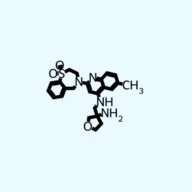 Cc1ccc2nc(N3CCS(=O)(=O)c4ccccc4C3)cc(NCC3(N)CCOC3)c2c1